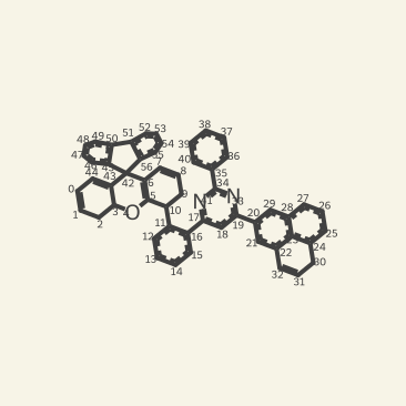 C1=CCC2OC3=C(C=CCC3c3ccccc3-c3cc(-c4cc5c6c(cccc6c4)CC=C5)nc(-c4ccccc4)n3)C3(C2=C1)c1ccccc1-c1ccccc13